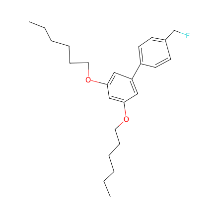 CCCCCCOc1cc(OCCCCCC)cc(-c2ccc(CF)cc2)c1